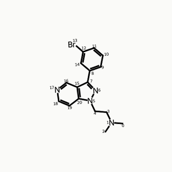 CN(C)CCn1nc(-c2cccc(Br)c2)c2cnccc21